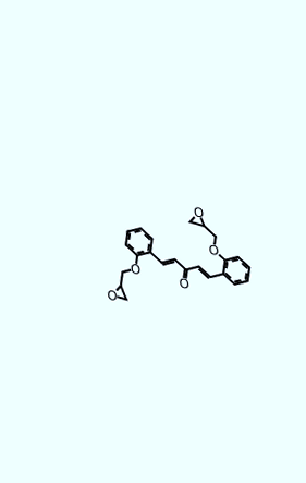 O=C(C=Cc1ccccc1OCC1CO1)C=Cc1ccccc1OCC1CO1